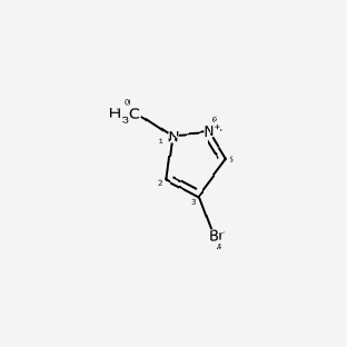 CN1C=C(Br)C=[N+]1